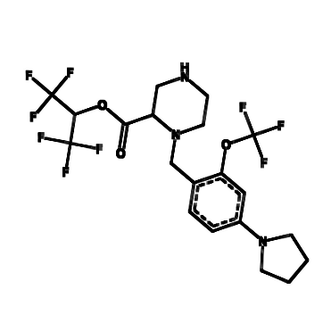 O=C(OC(C(F)(F)F)C(F)(F)F)C1CNCCN1Cc1ccc(N2CCCC2)cc1OC(F)(F)F